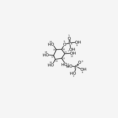 O=P(O)(O)O.O=P(O)(O)OC1C(O)C(O)C(O)C(O)C1O